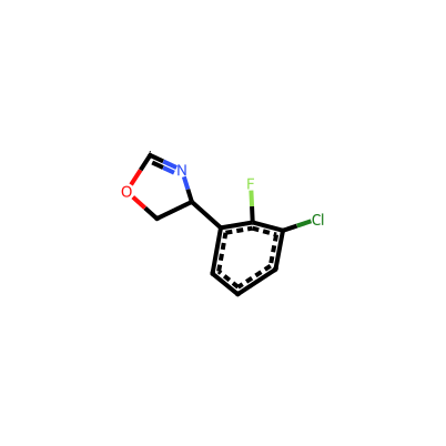 Fc1c(Cl)cccc1C1CO[C]=N1